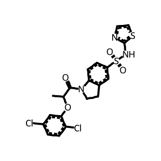 CC(Oc1cc(Cl)ccc1Cl)C(=O)N1CCc2cc(S(=O)(=O)Nc3nccs3)ccc21